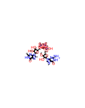 CO[C@@H]1C(O)[C@H](n2c[n+](C)c3c(=O)[nH]c(N)nc32)O[C@@H]1COP(=O)(O)OP(=O)(O)OP(=O)(O)OC[C@H]1O[C@@H](n2cnc3c(=O)[nH]c(C)nc32)C(O)[C@H]1O